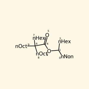 CCCCCCCCCC(CCCCCC)OC(=O)C(CCCCCC)(CCCCCCCC)CCCCCCCC